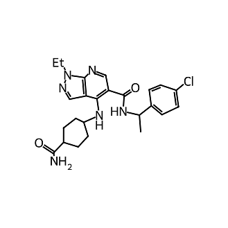 CCn1ncc2c(NC3CCC(C(N)=O)CC3)c(C(=O)NC(C)c3ccc(Cl)cc3)cnc21